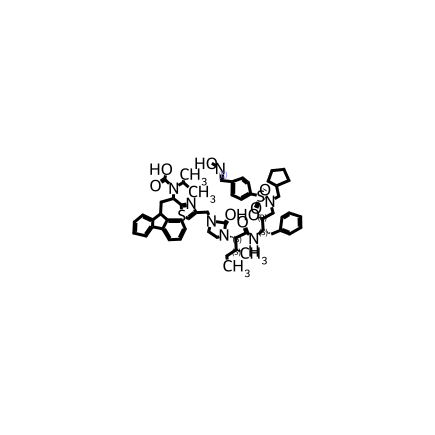 CC[C@H](C)[C@@H](C(=O)N[C@@H](Cc1ccccc1)[C@H](O)CN(CC1CCCC1)S(=O)(=O)c1ccc(/C=N/O)cc1)N1CCN(Cc2csc(C(CC3c4ccccc4-c4ccccc43)N(C(=O)O)C(C)C)n2)C1=O